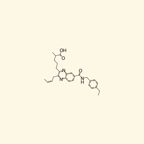 C/C=C\Cc1nc2ccc(C(=O)NCc3ccc(CC)cc3)cc2nc1CCCC(C)C(=O)O